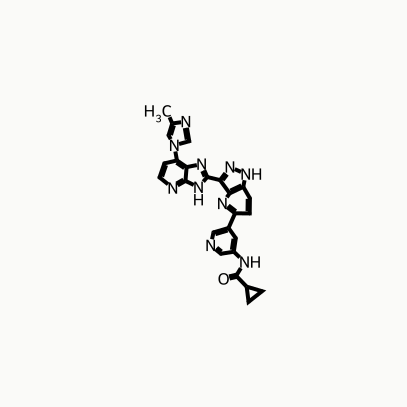 Cc1cn(-c2ccnc3[nH]c(-c4n[nH]c5ccc(-c6cncc(NC(=O)C7CC7)c6)nc45)nc23)cn1